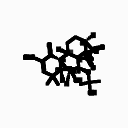 C[C@@H]1[C@H]2CC[C@H]3[C@@]45CO[C@](OC(C)(C)O)([C@@H](O)[C@@H]4C(C)(C)C=C(C=O)C5=O)[C@@]13C(=O)C2=O